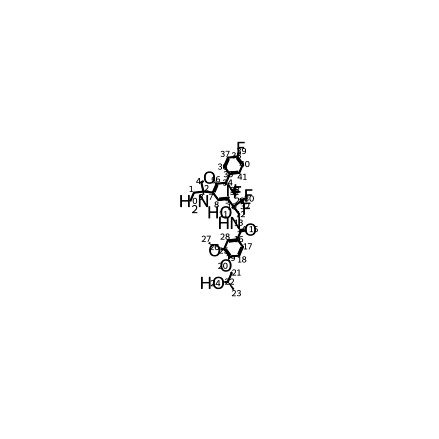 CC[C@]1(N)COc2c1cc(C(O)(CNC(=O)c1ccc(OC[C@@H](C)O)c(OC)c1)C(F)(F)F)nc2-c1ccc(F)cc1